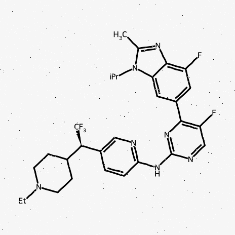 CCN1CCC([C@H](c2ccc(Nc3ncc(F)c(-c4cc(F)c5nc(C)n(C(C)C)c5c4)n3)nc2)C(F)(F)F)CC1